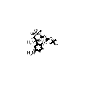 CN1/C(=N/C(=O)OC(C)(C)C)N[C@](N)(c2cc(N)ccc2F)CS1(=O)=O